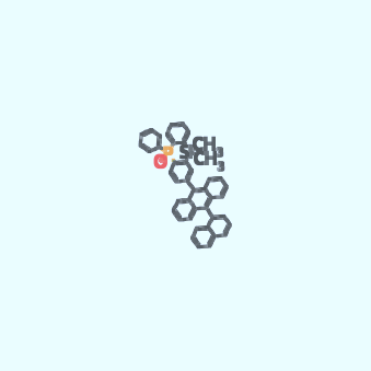 C[Si]1(C)c2ccccc2P(=O)(c2ccccc2)c2ccc(-c3c4ccccc4c(-c4cccc5ccccc45)c4ccccc34)cc21